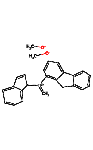 C[O-].C[O-].[CH2]=[Ti+2]([c]1cccc2c1Cc1ccccc1-2)[CH]1C=Cc2ccccc21